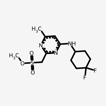 COS(=O)(=O)Cc1nc(C)cc(NC2CCC(F)(F)CC2)n1